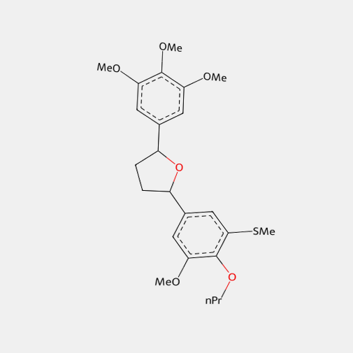 CCCOc1c(OC)cc(C2CCC(c3cc(OC)c(OC)c(OC)c3)O2)cc1SC